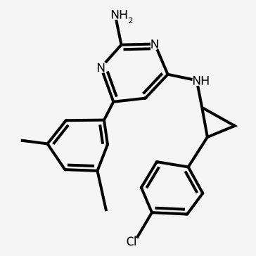 Cc1cc(C)cc(-c2cc(NC3CC3c3ccc(Cl)cc3)nc(N)n2)c1